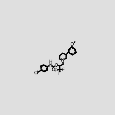 COc1cccc(C2CCCN(CC(OC(=O)Nc3ccc(Cl)cc3)C(F)(F)F)C2)c1